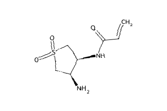 C=CC(=O)N[C@@H]1CS(=O)(=O)C[C@@H]1N